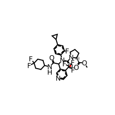 COC(=O)[C@@H]1CCCN1C(=O)N(c1ccc(C2CC2)cc1F)C(C(=O)NC1CCC(F)(F)CC1)c1cnccc1C(F)(F)F